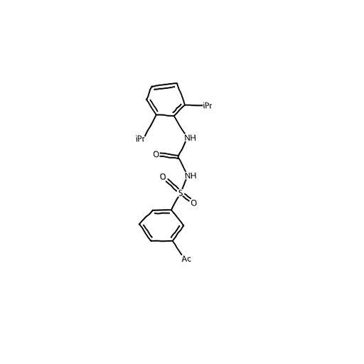 CC(=O)c1cccc(S(=O)(=O)NC(=O)Nc2c(C(C)C)cccc2C(C)C)c1